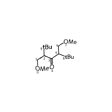 COCC(C(=O)C(COC)C(C)(C)C)C(C)(C)C